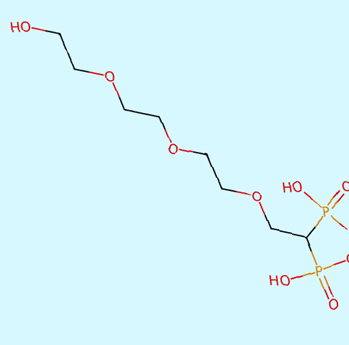 O=P(O)(O)C(COCCOCCOCCO)P(=O)(O)O